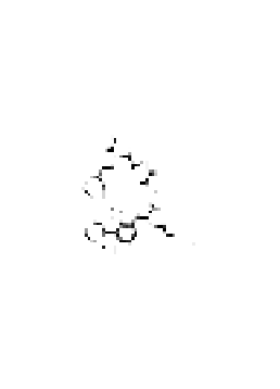 C=CC(=O)N(CCC1CNCCO1)C(=C)C(=O)NC(=C)C(=O)O.C=CC(=O)NC(=Cc1cc(C)cc(C2COCCN2C)c1S(=O)(=O)O)C(=O)O